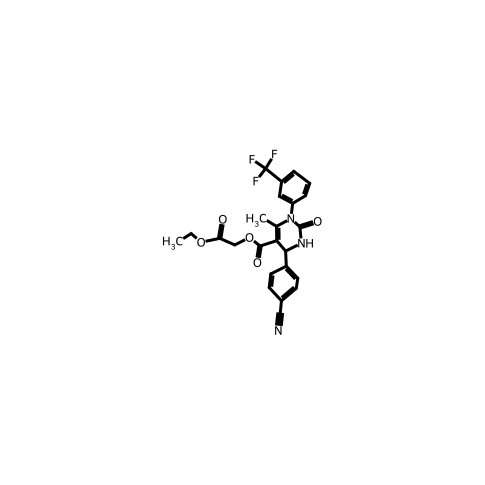 CCOC(=O)COC(=O)C1=C(C)N(c2cccc(C(F)(F)F)c2)C(=O)NC1c1ccc(C#N)cc1